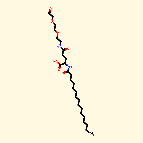 CCCCCCCCCCCCCCCC(=O)NC(CCC(=O)NCCOCCOCC=O)C(=O)O